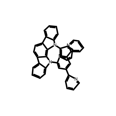 c1ccc(-n2c3ccccc3c3ccc4c5ccccc5n(-c5cc(-c6ccccn6)cc(-c6ccccn6)n5)c4c32)cc1